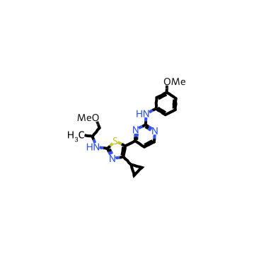 COCC(C)Nc1nc(C2CC2)c(-c2ccnc(Nc3cccc(OC)c3)n2)s1